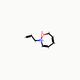 C=CCN1C=CC=CCO1